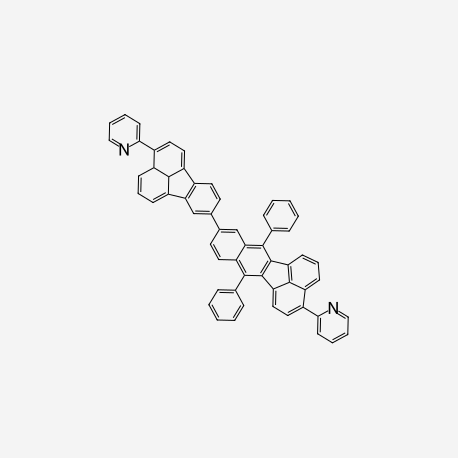 C1=CC2C(c3ccccn3)=CC=C3c4ccc(-c5ccc6c(-c7ccccc7)c7c(c(-c8ccccc8)c6c5)-c5cccc6c(-c8ccccn8)ccc-7c56)cc4C(=C1)C32